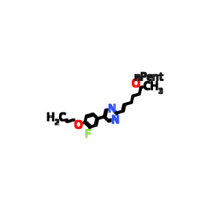 C=CCOc1ccc(-c2cnc(/C=C/CCCC(C)OCCCCC)nc2)cc1F